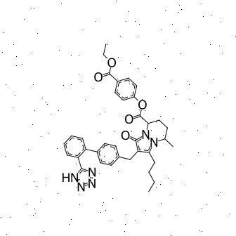 CCCCc1c(Cc2ccc(-c3ccccc3-c3nnn[nH]3)cc2)c(=O)n2n1C(C)CCC2C(=O)Oc1ccc(C(=O)OCC)cc1